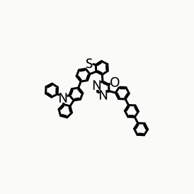 c1ccc(-c2ccc(-c3ccc4oc5c(-c6cccc7sc8ccc(-c9ccc%10c%11ccccc%11n(-c%11ccccc%11)c%10c9)cc8c67)ncnc5c4c3)cc2)cc1